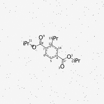 CC(C)OC(=O)c1ccc(C(=O)OC(C)C)c(C(C)C)c1